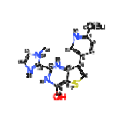 CC(C)COc1ccc(-c2csc3c(O)nc(-c4nccn4C)nc23)cn1